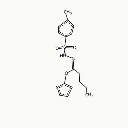 CCCCC(=NNS(=O)(=O)c1ccc(C)cc1)Oc1cccs1